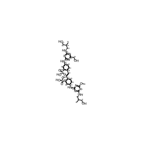 COc1nc(NCC(C)CO)nc(Nc2ccc(C=Cc3ccc(Nc4nc(CO)nc(NCC(C)CO)n4)cc3S(=O)(=O)O)c(S(=O)(=O)O)c2)n1